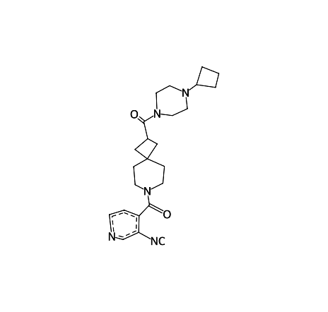 [C-]#[N+]c1cnccc1C(=O)N1CCC2(CC1)CC(C(=O)N1CCN(C3CCC3)CC1)C2